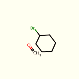 BrC1CCCCC1.C=O